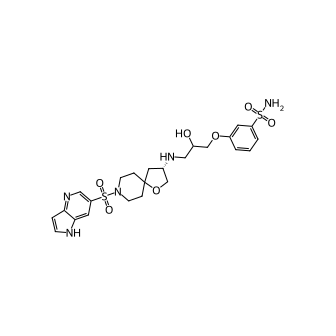 NS(=O)(=O)c1cccc(OCC(O)CN[C@@H]2COC3(CCN(S(=O)(=O)c4cnc5cc[nH]c5c4)CC3)C2)c1